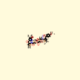 CCc1cc(C(=O)c2ccc(OC(F)(F)F)cc2)c(NC(=O)C(CC)SCC(=O)OC(=O)C(C)SC(CC)C(=O)Nc2sc(CC)cc2C(=O)c2ccc(OC(F)(F)F)cc2)s1